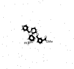 COC(=O)c1cccc(CO[C@@H]2CCCN(Cc3ccncc3)[C@@H]2c2ccccc2)c1.Cl.Cl